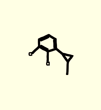 CC1C[C]1c1cccc(Cl)c1Cl